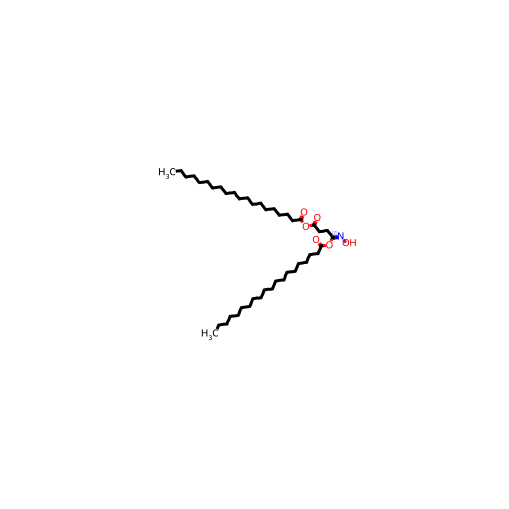 CCCCCCCCCCCCCCCCCCCC(=O)OC(=O)CC/C(=N/O)OC(=O)CCCCCCCCCCCCCCCCCCC